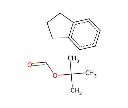 CC(C)(C)OC=O.c1ccc2c(c1)CCC2